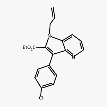 C=CCn1c(C(=O)OCC)c(-c2ccc(Cl)cc2)c2ncccc21